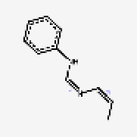 C/C=C\N=C/Nc1ccccc1